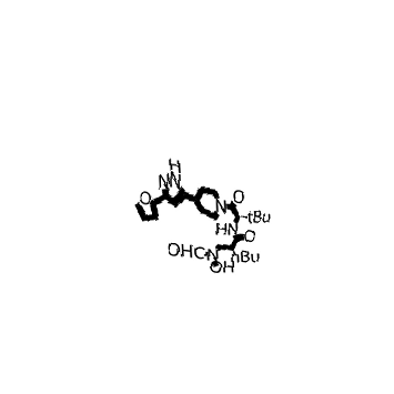 CCCC[C@H](CN(O)C=O)C(=O)N[C@H](C(=O)N1CCC(c2cc(-c3ccco3)n[nH]2)CC1)C(C)(C)C